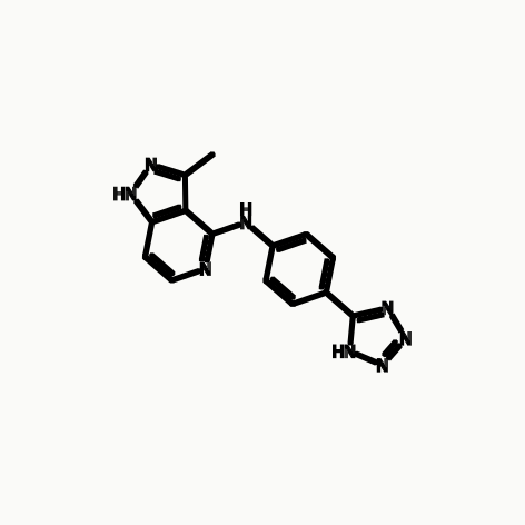 Cc1n[nH]c2ccnc(Nc3ccc(-c4nnn[nH]4)cc3)c12